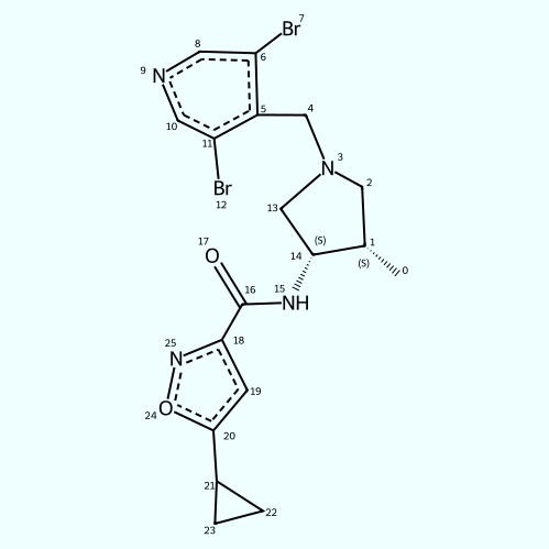 C[C@H]1CN(Cc2c(Br)cncc2Br)C[C@H]1NC(=O)c1cc(C2CC2)on1